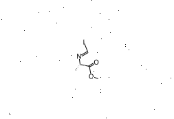 COC(=O)[C@H](C)/N=C/I